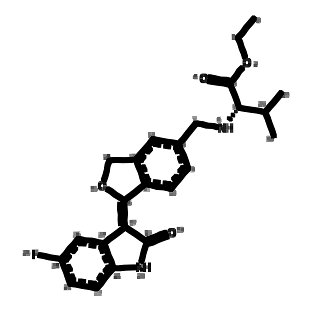 CCOC(=O)[C@@H](NCc1ccc2c(c1)CO/C2=C1/C(=O)Nc2ccc(F)cc21)C(C)C